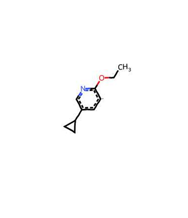 CCOc1[c]cc(C2CC2)cn1